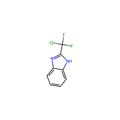 FC(F)(Cl)c1nc2ccccc2[nH]1